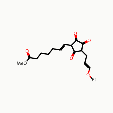 CCOC=CCC1C(=O)C(=O)C(C=CCCCCC(=O)OC)C1=O